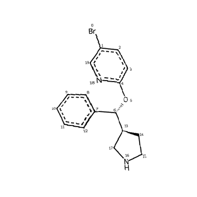 Brc1ccc(O[C@@H](c2ccccc2)[C@H]2CCNC2)nc1